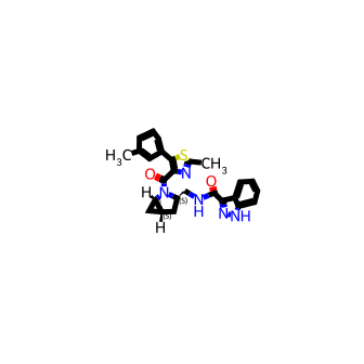 Cc1cccc(-c2sc(C)nc2C(=O)N2[C@H](CNC(=O)c3n[nH]c4ccccc34)C[C@@H]3C[C@@H]32)c1